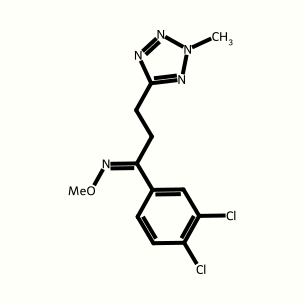 CO/N=C(/CCc1nnn(C)n1)c1ccc(Cl)c(Cl)c1